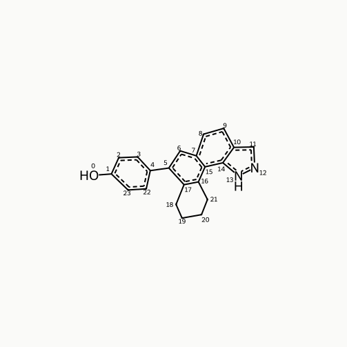 Oc1ccc(-c2cc3ccc4cn[nH]c4c3c3c2CCCC3)cc1